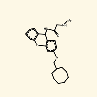 CCCNCC(=O)NC1c2ccccc2Oc2cc(OCC3CCCCCCC3)ccc21